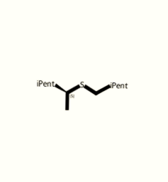 CCCC(C)CS[C@@H](C)C(C)CCC